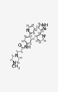 CN1CCN(CCC(=O)Nc2ccc(-c3cc(-c4c[nH]nc4-c4ccccn4)ccn3)cc2)CC1